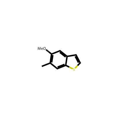 COc1cc2ccsc2cc1C